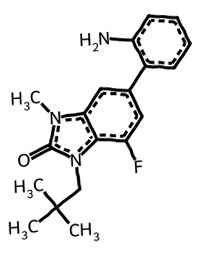 Cn1c(=O)n(CC(C)(C)C)c2c(F)cc(-c3ccccc3N)cc21